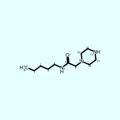 CCCCCNC(=O)CN1CCNCC1